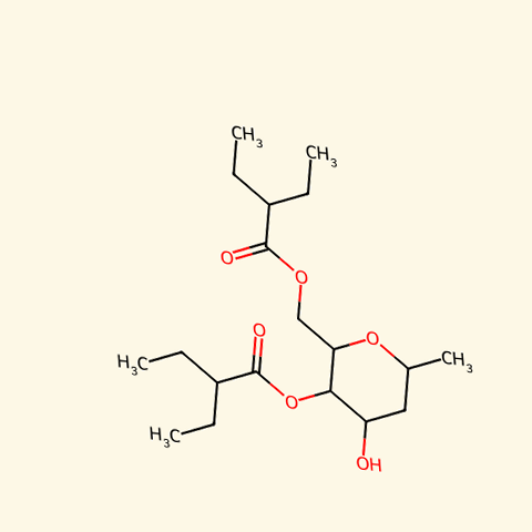 CCC(CC)C(=O)OCC1OC(C)CC(O)C1OC(=O)C(CC)CC